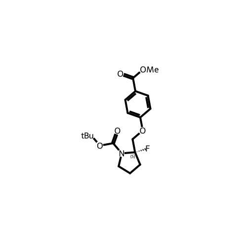 COC(=O)c1ccc(OC[C@@]2(F)CCCN2C(=O)OC(C)(C)C)cc1